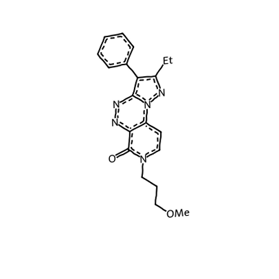 CCc1nn2c(nnc3c(=O)n(CCCOC)ccc32)c1-c1ccccc1